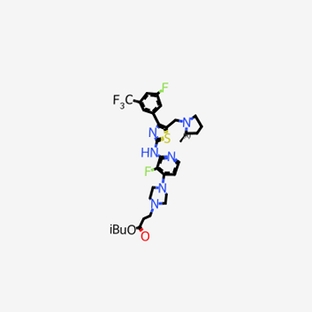 CC(C)COC(=O)CCN1CCN(c2ccnc(Nc3nc(-c4cc(F)cc(C(F)(F)F)c4)c(CN4CCC[C@H]4C)s3)c2F)CC1